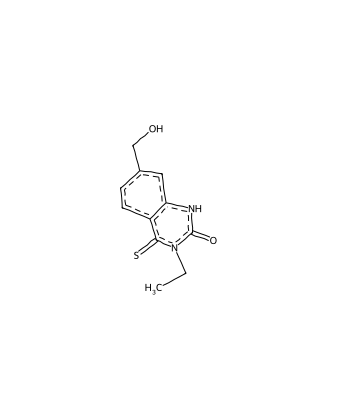 CCn1c(=O)[nH]c2cc(CO)ccc2c1=S